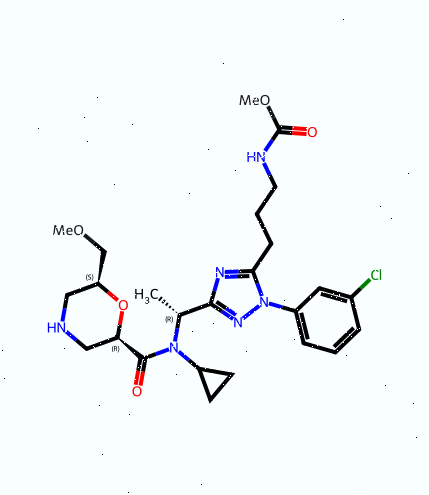 COC[C@@H]1CNC[C@H](C(=O)N(C2CC2)[C@H](C)c2nc(CCCNC(=O)OC)n(-c3cccc(Cl)c3)n2)O1